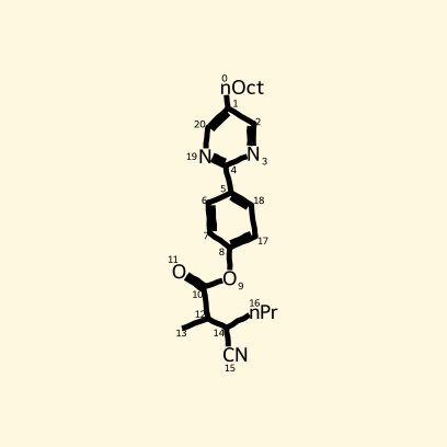 CCCCCCCCc1cnc(-c2ccc(OC(=O)C(C)C(C#N)CCC)cc2)nc1